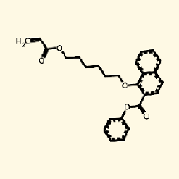 C=CC(=O)OCCCCCCOc1c(C(=O)Oc2ccccc2)ccc2ccccc12